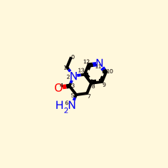 CCN1C(=O)C(N)Cc2ccncc21